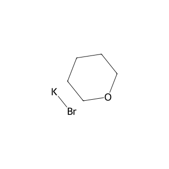 C1CCOCC1.[K][Br]